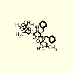 C=C(COC(=O)N[C@@H](Cc1ccccc1)C(=O)N(Cc1ccccc1)[C@@H](CC(C)C)C(=O)O)S(=O)(=O)C(C)(C)C